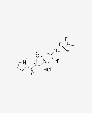 COc1cc(OCC(F)(F)C(F)F)c(F)cc1CNC(=O)[C@@H]1CCCN1C.Cl